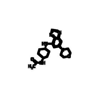 CC(=O)N[C@H]1CC[C@@H](Nc2cc(N3CCOCC3)cc3nccnc23)CC1